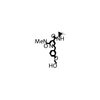 CNC(=O)c1cc(C(=O)N[C@H]2C[C@@H]2C)cc(Cc2cccc(OCCO)c2)n1